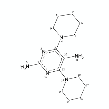 Nc1nc(N2CCCCC2)c(N)c(N2CCCCC2)n1